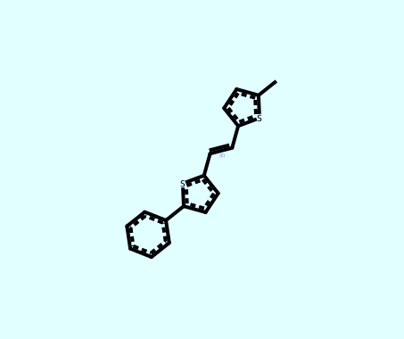 Cc1ccc(/C=C/c2ccc(-c3ccccc3)s2)s1